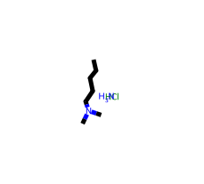 CCCCCN(C)C.Cl.N